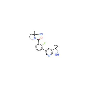 CC1(C#N)CCCN1C(=O)c1cccc(-c2cnc3c(c2)C2(CC2)CN3)c1F